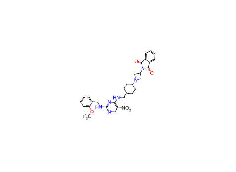 O=C1c2ccccc2C(=O)N1C1CN([C@H]2CC[C@H](CNc3nc(NCc4ccccc4OC(F)(F)F)ncc3[N+](=O)[O-])CC2)C1